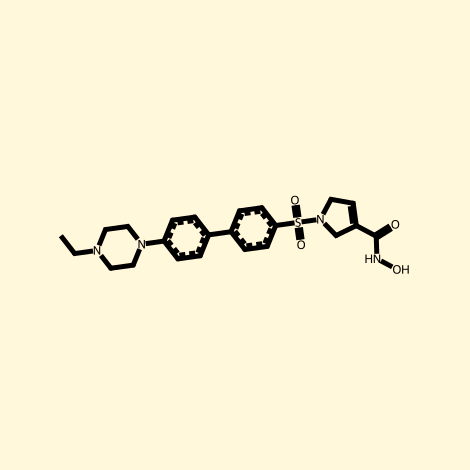 CCN1CCN(c2ccc(-c3ccc(S(=O)(=O)N4CC=C(C(=O)NO)C4)cc3)cc2)CC1